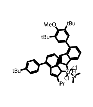 COc1c(C(C)(C)C)cc(-c2cccc3c2C=C(C)[CH]3[Zr]([Cl])([Cl])([CH]2C(C(C)C)=Cc3c(-c4ccc(C(C)(C)C)cc4)cccc32)[SiH](C)C)cc1C(C)(C)C